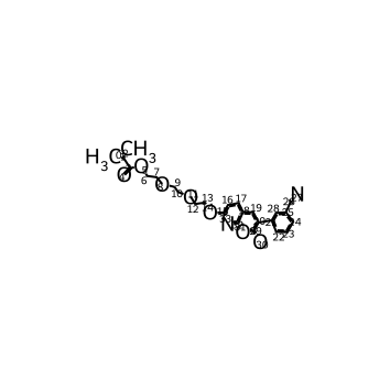 CC(C)C(=O)OCCOCCOCCOc1ccc2cc(-c3cccc(C#N)c3)c(=O)oc2n1